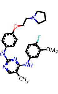 COc1cc(Nc2nc(Nc3ccc(OCCN4CCCC4)cc3)ncc2C)ccc1F